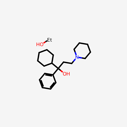 CCO.OC(CCN1CCCCC1)(c1ccccc1)C1CCCCC1